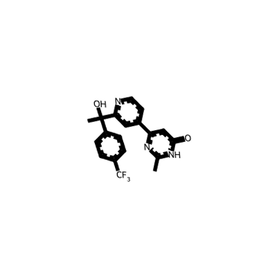 Cc1nc(-c2ccnc(C(C)(O)c3ccc(C(F)(F)F)cc3)c2)cc(=O)[nH]1